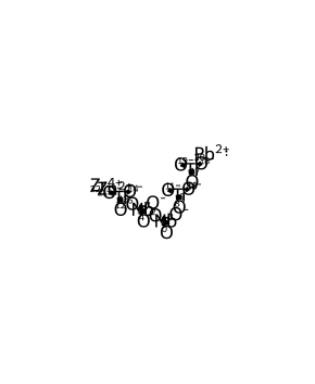 [O]=[Nb](=[O])[O-].[O]=[Nb](=[O])[O-].[O]=[Ti]([O-])[O-].[O]=[Ti]([O-])[O-].[O]=[Ti]([O-])[O-].[Pb+2].[Zn+2].[Zr+4]